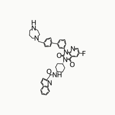 O=C(N[C@H]1CC[C@@H](n2c(=O)c3cc(F)cnc3n(-c3cccc(-c4ccc(CN5CCCNCC5)cc4)c3)c2=O)CC1)c1ccc2ccccc2n1